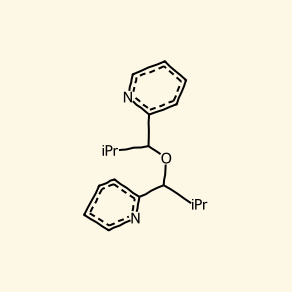 CC(C)C(OC(c1ccccn1)C(C)C)c1ccccn1